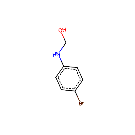 OCNc1ccc(Br)cc1